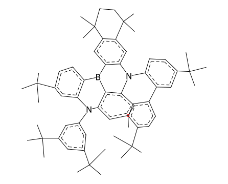 Cc1cc2c3c(c1)N(c1ccc(C(C)(C)C)cc1-c1ccc(C(C)(C)C)cc1)c1cc4c(cc1B3c1ccc(C(C)(C)C)cc1N2c1cc(C(C)(C)C)cc(C(C)(C)C)c1)C(C)(C)CCC4(C)C